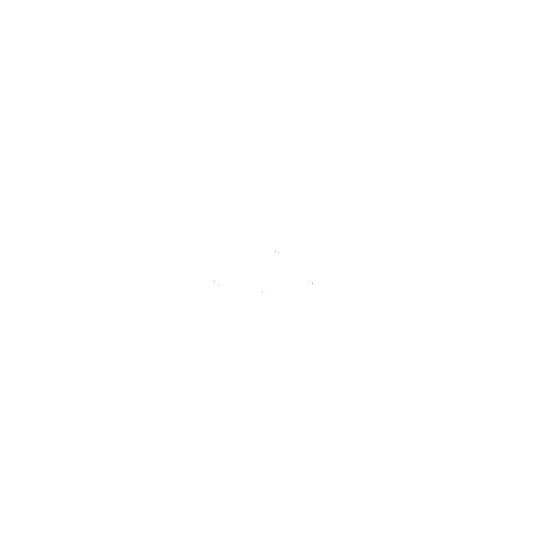 c1ccc(-c2nc(-c3ccc4ccc5ccccc5c4c3)nc(-c3ccc4oc5ccc6ccccc6c5c4n3)n2)cc1